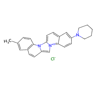 Cc1ccc2c(ccc3c[n+]4c5ccc(N6CCCCC6)cc5ccc4n32)c1.[Cl-]